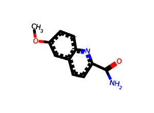 COc1c[c]c2nc(C(N)=O)ccc2c1